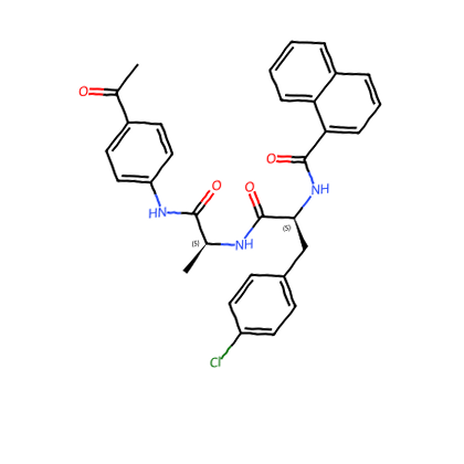 CC(=O)c1ccc(NC(=O)[C@H](C)NC(=O)[C@H](Cc2ccc(Cl)cc2)NC(=O)c2cccc3ccccc23)cc1